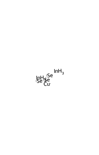 [Cu].[InH3].[InH3].[Se].[Se].[Se]